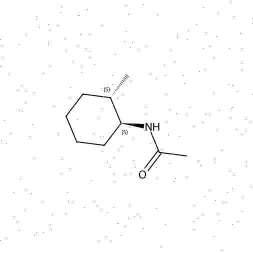 CC(=O)N[C@H]1CCCC[C@@H]1C